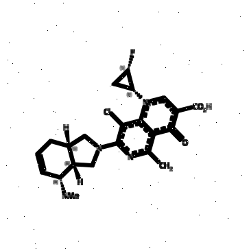 CN[C@@H]1C=CC[C@@H]2CN(c3nc(C)c4c(=O)c(C(=O)O)cn([C@@H]5C[C@@H]5F)c4c3Cl)C[C@@H]21